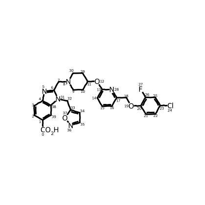 O=C(O)c1ccc2nc(CN3CCC(Oc4cccc(COc5ccc(Cl)cc5F)n4)CC3)n(Cc3ccno3)c2c1